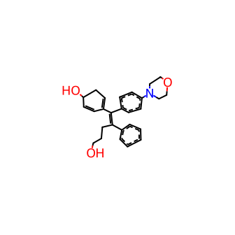 OCCC/C(=C(\C1=CCC(O)C=C1)c1ccc(N2CCOCC2)cc1)c1ccccc1